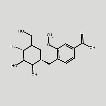 COc1cc(C(=O)O)ccc1C[C@@H]1CC(CO)[C@@H](O)C(O)C1O